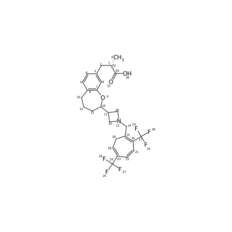 C[C@@H](Cc1ccc2c(c1)OC(C1CN(CC3=C(C(F)(F)F)C=CC(C(F)(F)F)=CC3)C1)CCC2)C(=O)O